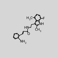 Cc1[nH]c2c(F)ccc(C)c2c1CCNC(=O)/C=C/c1ccccc1N